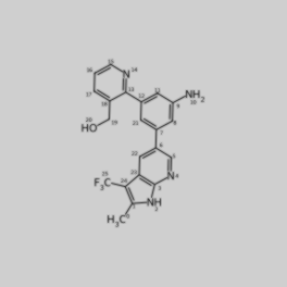 Cc1[nH]c2ncc(-c3cc(N)cc(-c4ncccc4CO)c3)cc2c1C(F)(F)F